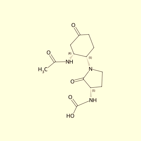 CC(=O)N[C@@H]1CC(=O)CC[C@@H]1N1CC[C@H](NC(=O)O)C1=O